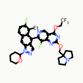 CCc1c(F)ccc2cc3c(cnn3C3CCCCO3)c(-c3ncc4c(OCC(F)(F)F)nc(OCC56CCCN5CCC6)nc4c3F)c12